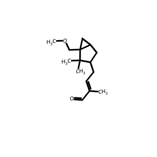 COCC12CC1CC(C/C=C(\C)C=O)C2(C)C